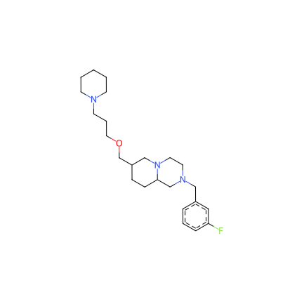 Fc1cccc(CN2CCN3CC(COCCCN4CCCCC4)CCC3C2)c1